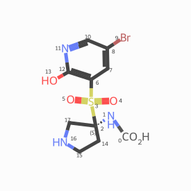 O=C(O)N[C@]1(S(=O)(=O)c2cc(Br)cnc2O)CCNC1